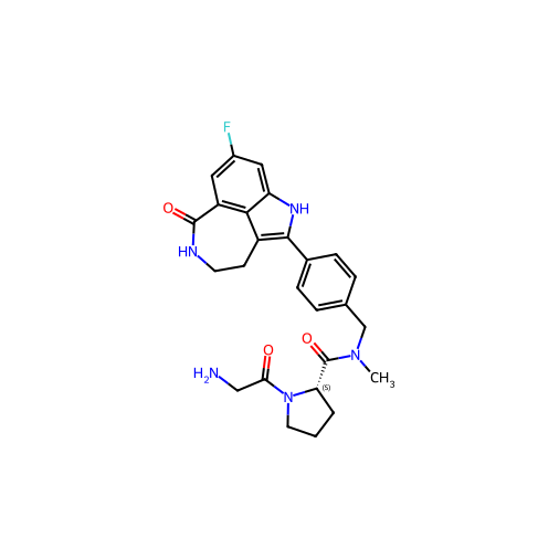 CN(Cc1ccc(-c2[nH]c3cc(F)cc4c3c2CCNC4=O)cc1)C(=O)[C@@H]1CCCN1C(=O)CN